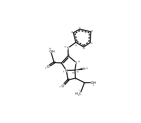 CC(O)C1C(=O)N2C(C(=O)O)=C(Sc3ccccc3)S[C@H]12